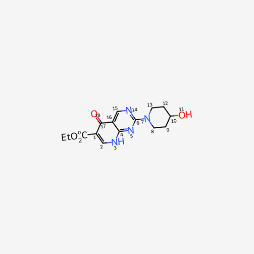 CCOC(=O)c1c[nH]c2nc(N3CCC(O)CC3)ncc2c1=O